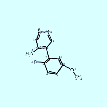 COc1ccc(F)c(-c2cnncc2N)c1